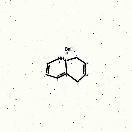 C1=CNC2CC=CCC2=C1.[BaH2]